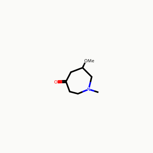 COC1CC(=O)CCN(C)C1